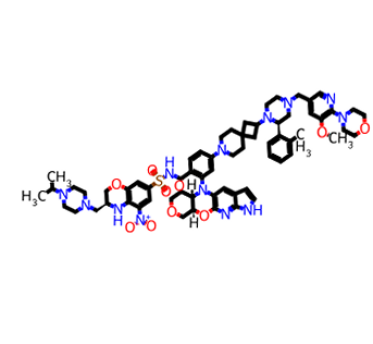 COc1cc(CN2CCN(C3CC4(CCN(c5ccc(C(=O)NS(=O)(=O)c6cc7c(c([N+](=O)[O-])c6)N[C@@H](CN6CCN(C(C)C)CC6)CO7)c(N6c7cc8cc[nH]c8nc7O[C@H]7COCC[C@@H]76)c5)CC4)C3)[C@H](c3ccccc3C)C2)cnc1N1CCOCC1